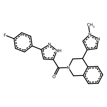 Cn1cc(C2CN(C(=O)c3cc(-c4ccc(F)cc4)n[nH]3)Cc3ccccc32)cn1